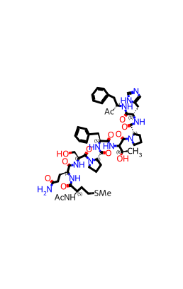 CSCC[C@H](NC(C)=O)C(=O)N[C@@H](CCC(N)=O)C(=O)N[C@@H](CO)C(=O)N1CCC[C@H]1C(=O)N[C@@H](Cc1ccccc1)C(=O)NC(C(=O)N1CCC[C@H]1C(=O)N[C@@H](Cc1cnc[nH]1)C(=O)N[C@@H](Cc1ccccc1)C(C)=O)[C@@H](C)O